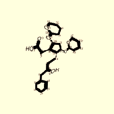 O=C(O)C[C@@H]1[C@@H](CCC(O)Cc2ccccc2)[C@H](OC2CCCCO2)C[C@@H]1OC1CCCCO1